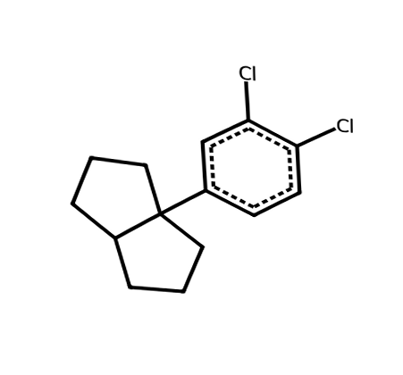 Clc1ccc(C23CCCC2CCC3)cc1Cl